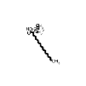 CCCCCCCCCCCCCCCCC([SiH2]O[SiH2]C)C(=O)O